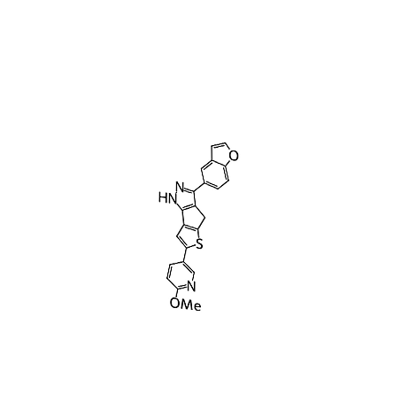 COc1ccc(-c2cc3c(s2)Cc2c(-c4ccc5occc5c4)n[nH]c2-3)cn1